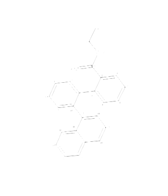 CCOC(=O)c1ccccc1-c1ccccc1-c1cccc2ccccc12